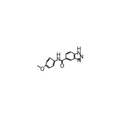 COc1ccc(NC(=O)c2ccc3[nH]nnc3c2)cc1